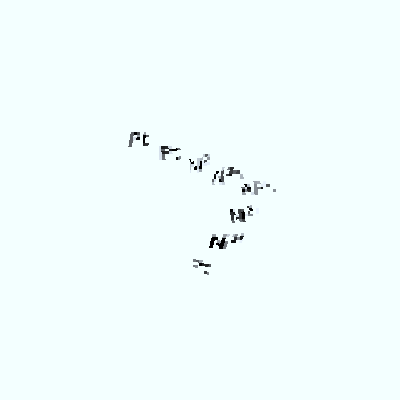 [Al-3].[Al-3].[Ni+2].[Ni+2].[Ni+2].[Pt].[Pt].[Pt]